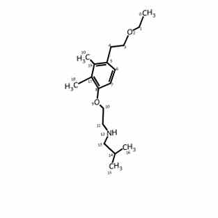 CCOCCc1ccc(OCCNCC(C)C)c(C)c1C